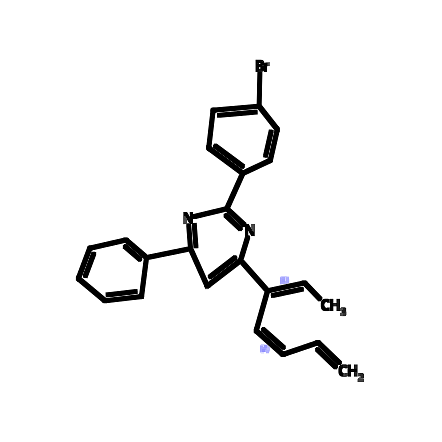 C=C/C=C\C(=C/C)c1cc(-c2ccccc2)nc(-c2ccc(Br)cc2)n1